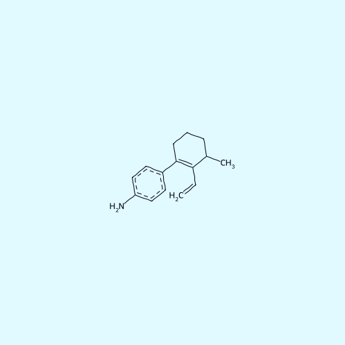 C=CC1=C(c2ccc(N)cc2)CCCC1C